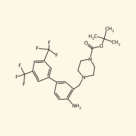 CC(C)(C)OC(=O)N1CCN(Cc2cc(-c3cc(C(F)(F)F)cc(C(F)(F)F)c3)ccc2N)CC1